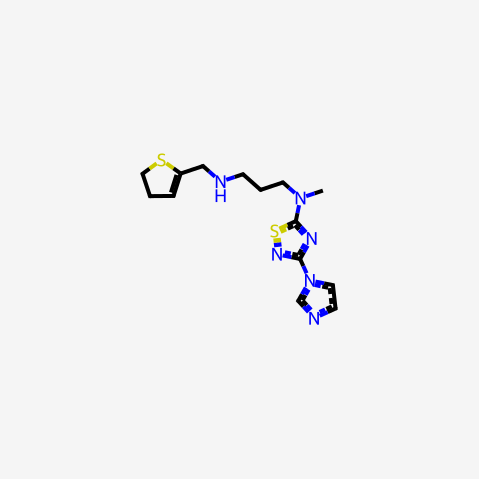 CN(CCCNCC1=CCCS1)c1nc(-n2ccnc2)ns1